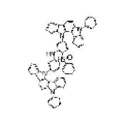 O=[SH]1(c2ccccc2)c2ccc(-n3c4ccccc4c4ccc5c(c6ccccc6n5-c5ccccc5)c43)cc2Nc2cc(-n3c4ccccc4c4ccc5c(c6ccccc6n5-c5ccccc5)c43)ccc21